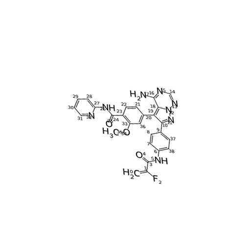 C=C(F)C(=O)Nc1ccc(-c2nn3ncnc(N)c3c2-c2ccc(C(=O)Nc3ccccn3)c(OC)c2)cc1